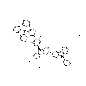 Cc1cc(-n2c3ccccc3c3cc(-c4ccc5c(c4)c4ccccc4n5-c4ccccc4)ccc32)cc(C)c1-c1ccc2c(c1)C(c1ccccc1)(c1ccccc1)c1ccccc1-2